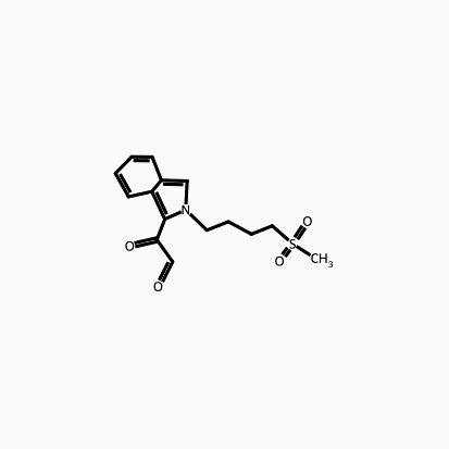 CS(=O)(=O)CCCCn1cc2ccccc2c1C(=O)C=O